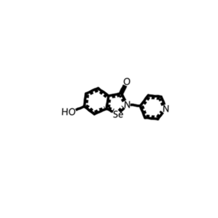 O=c1c2ccc(O)cc2[se]n1-c1ccncc1